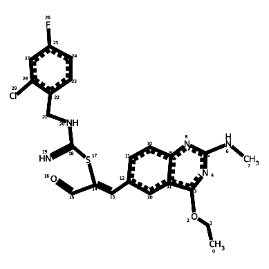 CCOc1nc(NC)nc2ccc(/C=C(/C=O)SC(=N)NCc3ccc(F)cc3Cl)cc12